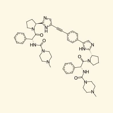 CN1CCN(C(=O)N[C@@H](C(=O)N2CCC[C@H]2c2ncc(C#Cc3ccc(-c4cnc([C@@H]5CCCN5C(=O)[C@H](NC(=O)N5CCN(C)CC5)c5ccccc5)[nH]4)cc3)[nH]2)c2ccccc2)CC1